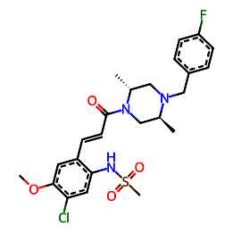 COc1cc(/C=C/C(=O)N2C[C@H](C)N(Cc3ccc(F)cc3)C[C@H]2C)c(NS(C)(=O)=O)cc1Cl